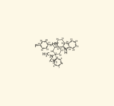 CN(C)C1(c2ccccc2)CCC2(NCCc3c2[nH]c2ccccc32)C(Cc2ccc(F)cc2)C1